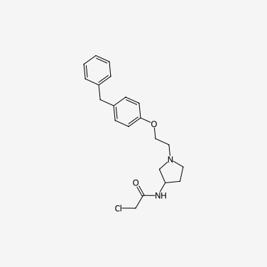 O=C(CCl)NC1CCN(CCOc2ccc(Cc3ccccc3)cc2)C1